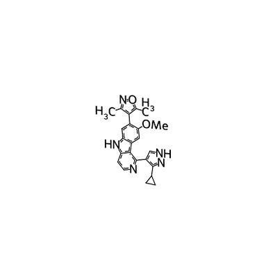 COc1cc2c(cc1-c1c(C)noc1C)[nH]c1ccnc(-c3c[nH]nc3C3CC3)c12